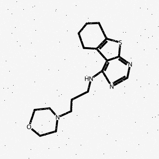 c1nc(NCCCN2CCOCC2)c2c3c(sc2n1)CCCC3